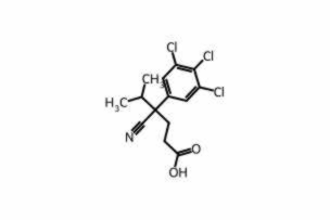 CC(C)C(C#N)(CCC(=O)O)c1cc(Cl)c(Cl)c(Cl)c1